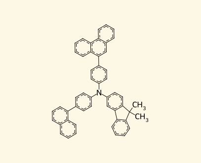 CC1(C)c2ccccc2-c2cc(N(c3ccc(-c4cccc5ccccc45)cc3)c3ccc(-c4cc5ccccc5c5ccccc45)cc3)ccc21